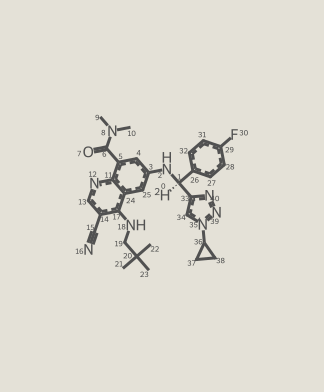 [2H][C@](Nc1cc(C(=O)N(C)C)c2ncc(C#N)c(NCC(C)(C)C)c2c1)(c1ccc(F)cc1)c1cn(C2CC2)nn1